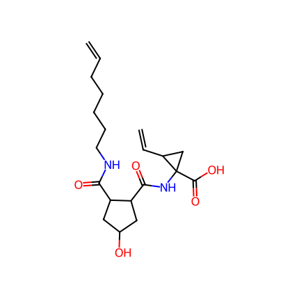 C=CCCCCCNC(=O)C1CC(O)CC1C(=O)NC1(C(=O)O)CC1C=C